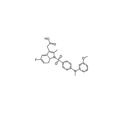 COc1cccc(N(C)c2ccc(S(=O)(=O)N3C(C)=C(CC(=O)O)C4=CC(F)=CCC43)cc2)c1